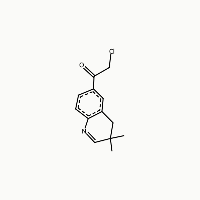 CC1(C)C=Nc2ccc(C(=O)CCl)cc2C1